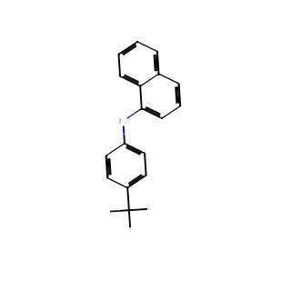 CCC(C)(C)c1ccc(Nc2cccc3ccccc23)cc1